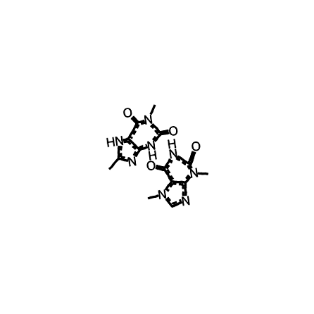 Cc1nc2[nH]c(=O)n(C)c(=O)c2[nH]1.Cn1cnc2c1c(=O)[nH]c(=O)n2C